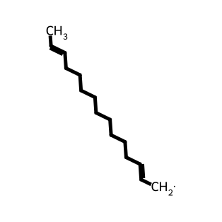 [CH2]C=CCCCCCCCCCC=CC